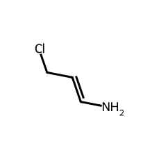 N/C=C/CCl